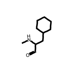 CNC([C]=O)CC1CCCCC1